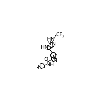 CN1CCC(NC(=O)c2cnn3ccc(-c4c[nH]c5nc(NCCC(F)(F)F)ncc45)cc23)CC1